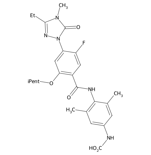 CCCC(C)Oc1cc(-n2nc(CC)n(C)c2=O)c(F)cc1C(=O)Nc1c(C)cc(NC(=O)O)cc1C